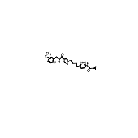 O=C(NCc1cc(OC(F)(F)F)ccc1F)c1cn(CCCCc2ccc(NC(=O)C3CC3)nn2)nn1